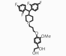 COc1cc(C(O)CO)ccc1OCCCN1CCC(C(c2ccc(F)cc2F)c2ccc(F)cc2F)CC1